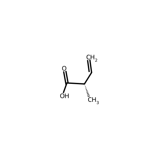 C=C[C@H](C)C(=O)O